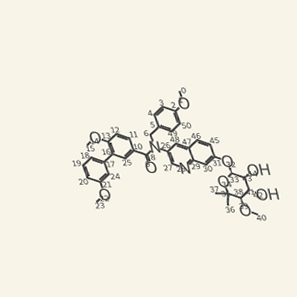 COc1ccc(CN(C(=O)c2ccc(OC)c(-c3cccc(OC)c3)c2)c2cnc3cc(O[C@@H]4OC(C)(C)[C@H](OC)[C@@H](O)[C@@H]4O)ccc3c2)cc1